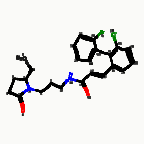 COC[C@@H]1CCC(=O)N1CCCNC(=O)/C=C/c1cc[c]c(Cl)c1-c1ccccc1Br